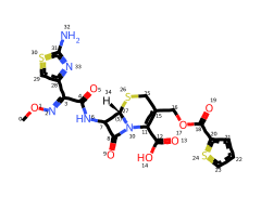 CON=C(C(=O)NC1C(=O)N2C(C(=O)O)=C(COC(=O)c3cccs3)CS[C@@H]12)c1csc(N)n1